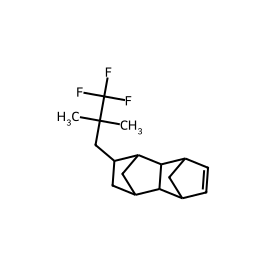 CC(C)(CC1CC2CC1C1C3C=CC(C3)C21)C(F)(F)F